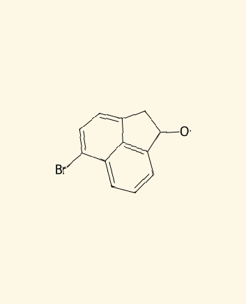 [O]C1Cc2ccc(Br)c3cccc1c23